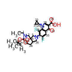 CCN(CC12CN(c3c(F)cc4c(=O)c(C(=O)O)cn(C5CC5)c4c3F)CC1CCO2)C(=O)OC(C)(C)C